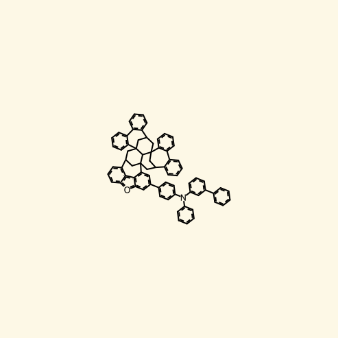 c1ccc(-c2cccc(N(c3ccccc3)c3ccc(-c4cc5c6c(c4)oc4cccc(c46)C4CC67CC(CC89CC(CC5(C4)C86)c4ccccc4-c4ccccc49)c4ccccc4-c4ccccc47)cc3)c2)cc1